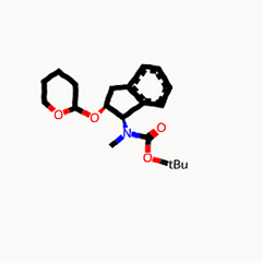 CN(C(=O)OC(C)(C)C)[C@@H]1c2ccccc2C[C@@H]1OC1CCCCO1